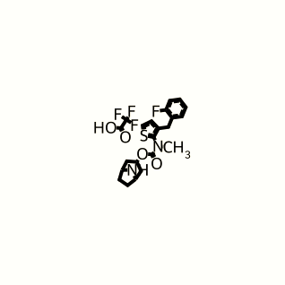 CN(C(=O)OC1CC2CCC(C1)N2)c1sccc1Cc1ccccc1F.O=C(O)C(F)(F)F